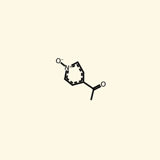 CC(=O)c1cc[n+]([O-])cc1